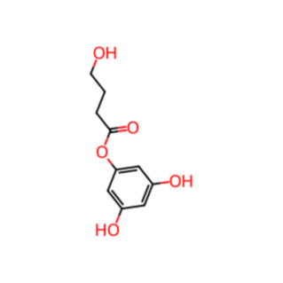 O=C(CCCO)Oc1cc(O)cc(O)c1